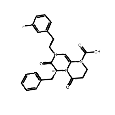 O=C1[C@H](Cc2ccccc2)N2C(=O)CCN(C(=O)O)C2=CN1CCc1cccc(F)c1